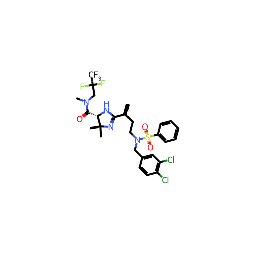 C=C(CCN(Cc1ccc(Cl)c(Cl)c1)S(=O)(=O)c1ccccc1)C1=NC(C)(C)[C@H](C(=O)N(C)CC(F)(F)C(F)(F)F)N1